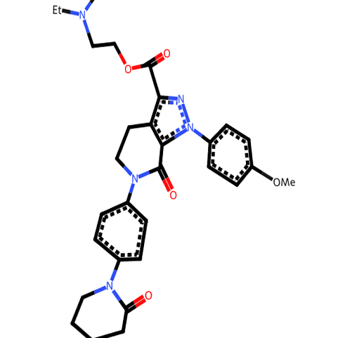 CCN(CC)CCOC(=O)c1nn(-c2ccc(OC)cc2)c2c1CCN(c1ccc(N3CCCCC3=O)cc1)C2=O